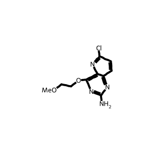 COCCOc1nc(N)nc2ccc(Cl)nc12